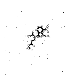 COC(=O)CCN(C(N)=O)c1nn(C)c2c([N+](=O)[O-])cccc12